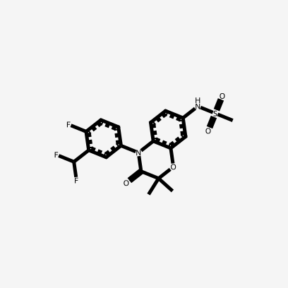 CC1(C)Oc2cc(NS(C)(=O)=O)ccc2N(c2ccc(F)c(C(F)F)c2)C1=O